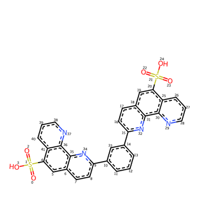 O=S(=O)(O)c1cc2ccc(-c3cccc(-c4ccc5cc(S(=O)(=O)O)c6cccnc6c5n4)c3)nc2c2ncccc12